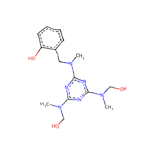 CN(CO)c1nc(N(C)CO)nc(N(C)Cc2ccccc2O)n1